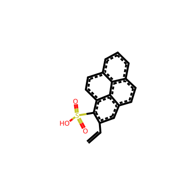 C=Cc1cc2ccc3cccc4ccc(c1S(=O)(=O)O)c2c34